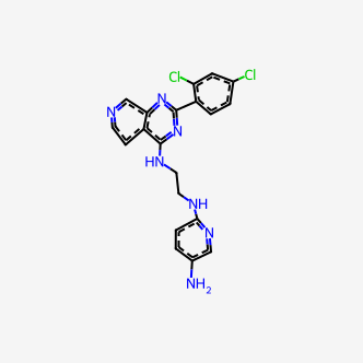 Nc1ccc(NCCNc2nc(-c3ccc(Cl)cc3Cl)nc3cnccc23)nc1